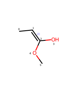 C/C=C(/O)OC